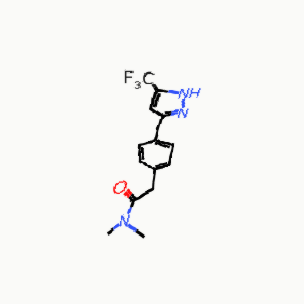 CN(C)C(=O)Cc1ccc(-c2cc(C(F)(F)F)[nH]n2)cc1